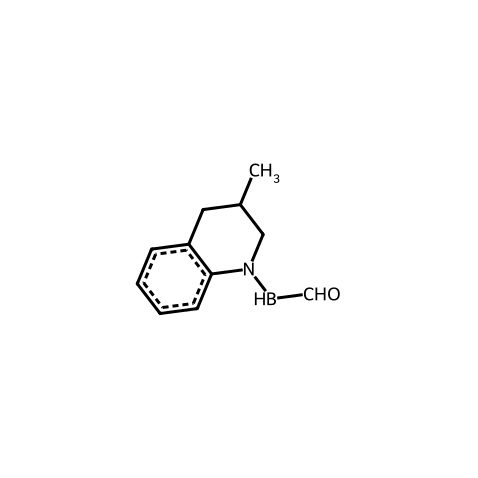 CC1Cc2ccccc2N(BC=O)C1